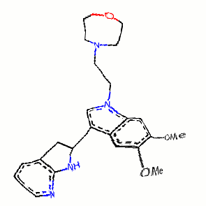 COc1cc2c(C3Cc4cccnc4N3)cn(CCN3CCOCC3)c2cc1OC